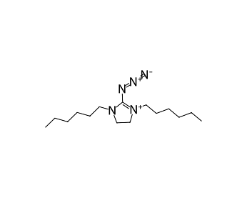 CCCCCCN1CC[N+](CCCCCC)=C1N=[N+]=[N-]